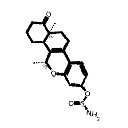 C[C@H]1Oc2cc(OS(N)=O)ccc2C2=C1C1CCCC(=O)[C@@]1(C)CC2